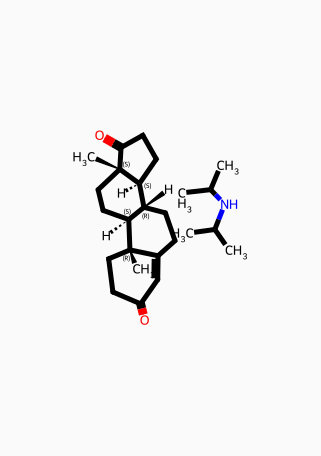 CC(C)NC(C)C.C[C@]12CCC(=O)C=C1CC[C@@H]1[C@@H]2CC[C@]2(C)C(=O)CC[C@@H]12